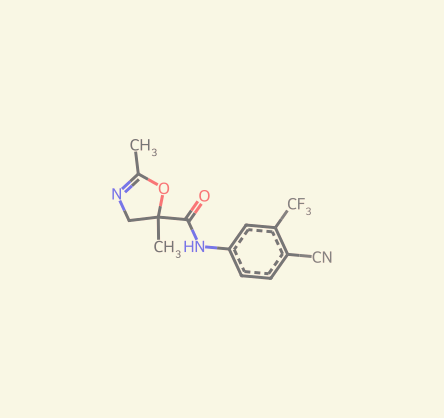 CC1=NCC(C)(C(=O)Nc2ccc(C#N)c(C(F)(F)F)c2)O1